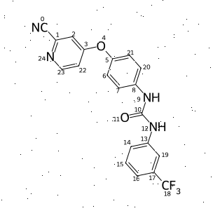 N#Cc1cc(Oc2ccc(NC(=O)Nc3cccc(C(F)(F)F)c3)cc2)ccn1